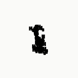 CC(O[Si](C)(C)C(C)(C)C)C(Nc1ccc(C#N)c(Cl)c1)c1nnc(-c2ccc(N3CCN(C(=O)OC(C)(C)C)CC3)cc2)o1